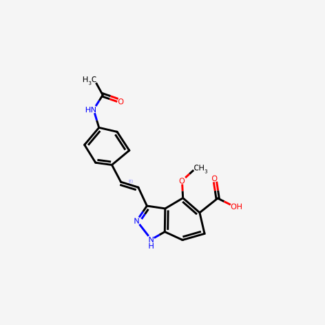 COc1c(C(=O)O)ccc2[nH]nc(/C=C/c3ccc(NC(C)=O)cc3)c12